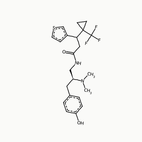 CN(C)[C@H](CNC(=O)CC(c1ccsc1)C1(C(F)(F)F)CC1)Cc1ccc(O)cc1